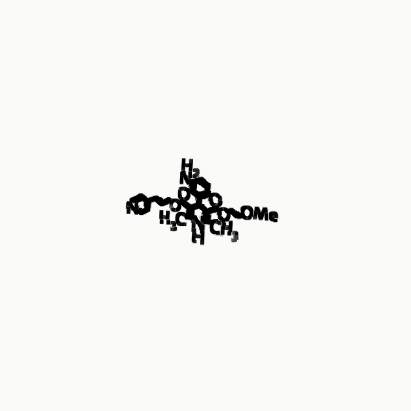 COCCOC(=O)C1=C(C)NC(C)=C(C(=O)OC/C=C/c2ccncc2)C1c1cccc(N)c1